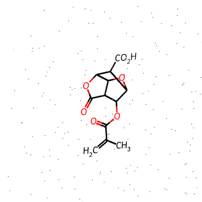 C=C(C)C(=O)OC1C2OC3C(OC(=O)C13)C2C(=O)O